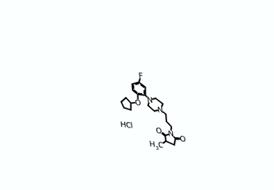 CC1CC(=O)N(CCCN2CCN(c3cc(F)ccc3OC3CCCC3)CC2)C1=O.Cl